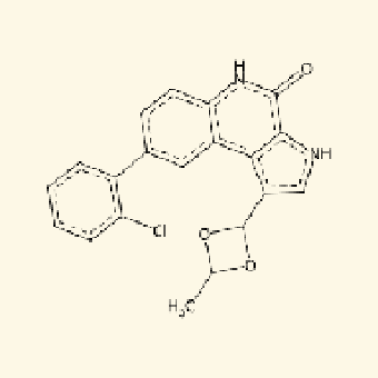 CC1OC(c2c[nH]c3c(=O)[nH]c4ccc(-c5ccccc5Cl)cc4c23)O1